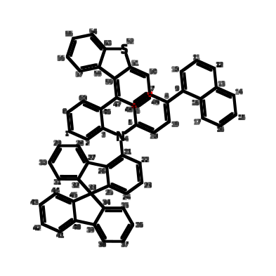 c1ccc(N(c2ccc(-c3cccc4ccccc34)cc2)c2cccc3c2-c2ccccc2C32c3ccccc3-c3ccccc32)c(-c2cccc3sc4ccccc4c23)c1